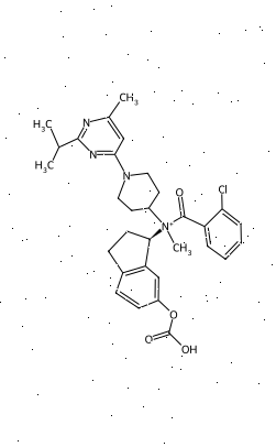 Cc1cc(N2CCC([N+](C)(C(=O)c3ccccc3Cl)[C@@H]3CCc4ccc(OC(=O)O)cc43)CC2)nc(C(C)C)n1